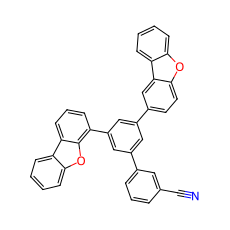 N#Cc1cccc(-c2cc(-c3ccc4oc5ccccc5c4c3)cc(-c3cccc4c3oc3ccccc34)c2)c1